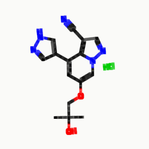 CC(C)(O)COc1cc(-c2cn[nH]c2)c2c(C#N)cnn2c1.Cl